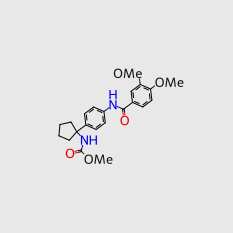 COC(=O)NC1(c2ccc(NC(=O)c3ccc(OC)c(OC)c3)cc2)CCCC1